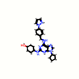 OC1CCC(Nc2nc(NCc3ccc(-n4cccn4)cc3)c3ncn(C4CCCC4)c3n2)CC1